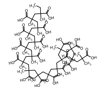 CCC(C)(CC(C)(CC(C)(CC(C)(CC(C)(CC(C)(CC(C)(CC(C)(CC(C)(CC(C)(CC(C)(CC(C)(CC(C)(CC(C)(CC(C)(CC(C)(CC(C)(C)C(=O)O)C(=O)O)C(=O)O)C(=O)O)C(=O)O)C(=O)O)C(=O)O)C(=O)O)C(=O)O)C(=O)O)C(=O)O)C(=O)O)C(=O)O)C(=O)O)C(=O)O)C(=O)O)C(=O)O